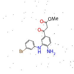 COC(=O)CC(=O)c1ccc(N)c(Nc2cccc(Br)c2)c1